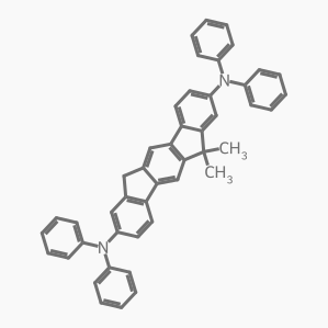 CC1(C)c2cc(N(c3ccccc3)c3ccccc3)ccc2-c2cc3c(cc21)-c1ccc(N(c2ccccc2)c2ccccc2)cc1C3